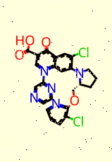 O=C(O)c1cn(-c2cnccn2)c2cc(N3CCC[C@@H]3COc3ncccc3Cl)c(Cl)cc2c1=O